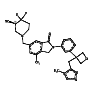 Cn1cnnc1CC1(c2cccc(N3Cc4c(cc(CN5CCC(F)(F)[C@H](C#N)C5)cc4C(F)(F)F)C3=O)c2)COC1